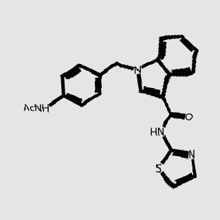 CC(=O)Nc1ccc(Cn2cc(C(=O)Nc3nccs3)c3ccccc32)cc1